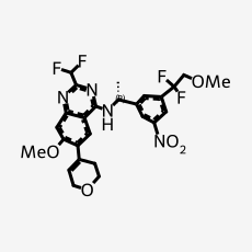 COCC(F)(F)c1cc([C@@H](C)Nc2nc(C(F)F)nc3cc(OC)c(C4=CCOCC4)cc23)cc([N+](=O)[O-])c1